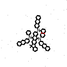 CC1(C)c2ccccc2-c2cc3c(N(c4ccccc4)c4ccc5cc6ccccc6cc5c4)c4cc(N(c5ccccc5)c5ccc6cc7ccccc7cc6c5)ccc4c(N(c4ccccc4)c4ccc5cc6ccccc6cc5c4)c3cc21